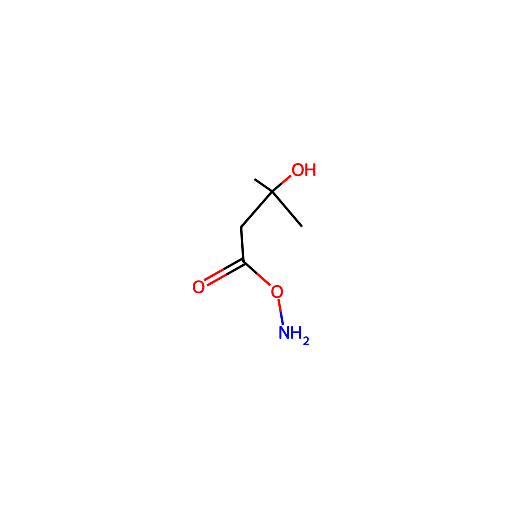 CC(C)(O)CC(=O)ON